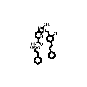 Cc1nc2ccc(C(=O)NS(=O)(=O)C=Cc3ccccc3)nc2n1Cc1ccc(C=Cc2ccccc2)cc1Cl